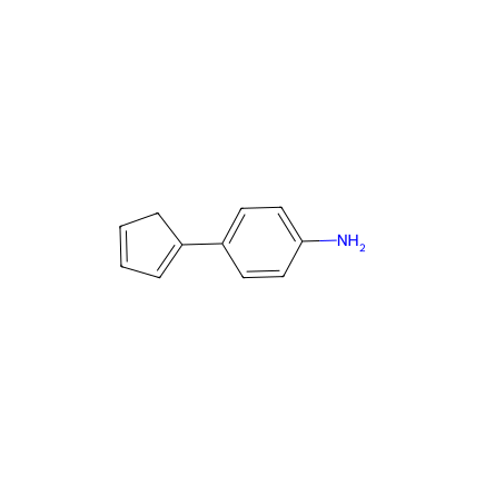 Nc1ccc(C2=CC=CC2)cc1